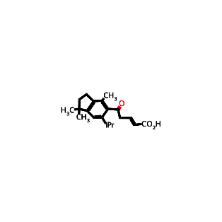 Cc1c2c(cc(C(C)C)c1C(=O)CC=CC(=O)O)C(C)(C)CC2